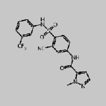 Cn1nccc1C(=O)Nc1ccc(S(=O)(=O)Nc2cccc(C(F)(F)F)c2)c(C#N)c1